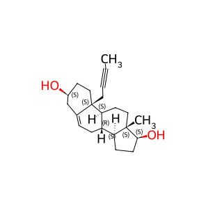 CC#CC[C@]12CC[C@H](O)CC1=CC[C@@H]1[C@@H]2CC[C@]2(C)[C@@H](O)CC[C@@H]12